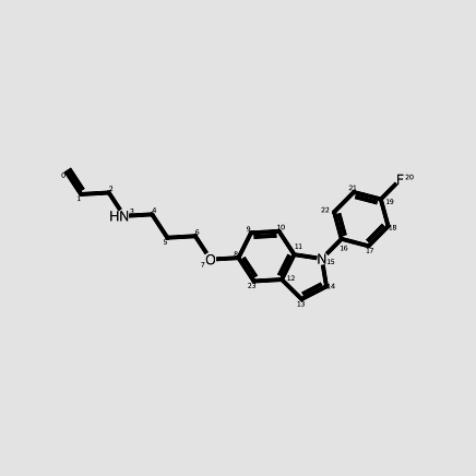 C=CCNCCCOc1ccc2c(ccn2-c2ccc(F)cc2)c1